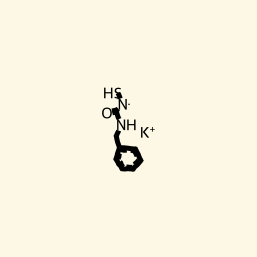 O=C([N]S)NCc1ccccc1.[K+]